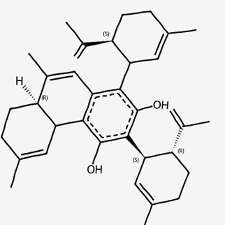 C=C(C)[C@H]1CCC(C)=CC1c1c(O)c([C@@H]2C=C(C)CC[C@H]2C(=C)C)c(O)c2c1C=C(C)[C@@H]1CCC(C)=CC21